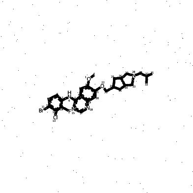 COc1cc2c(Nc3ccc(Br)c(Cl)c3F)ncnc2cc1OCC1CC2CN(CC(C)C)CC2C1